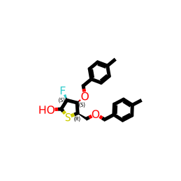 Cc1ccc(COC[C@H]2SC(O)[C@@H](F)[C@@H]2OCc2ccc(C)cc2)cc1